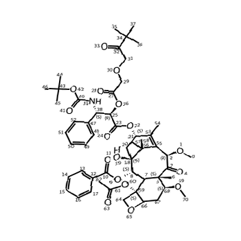 CO[C@H]1C(=O)[C@@]2(C)C([C@H](OC(=O)c3ccccc3)[C@]3(O)C[C@H](OC(=O)[C@H](OC(=O)COCC(=O)C(C)(C)C)[C@@H](NC(=O)OC(C)(C)C)c4ccccc4)C(C)=C1C3(C)C)[C@]1(OC(C)=O)COC1C[C@@H]2OC